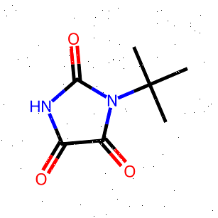 CC(C)(C)N1C(=O)NC(=O)C1=O